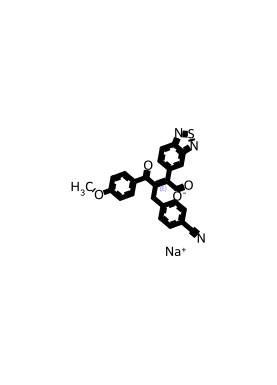 COc1ccc(C(=O)/C(Cc2ccc(C#N)cc2)=C(/C(=O)[O-])c2ccc3nsnc3c2)cc1.[Na+]